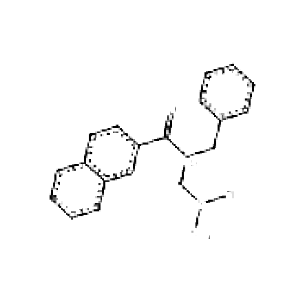 CN(C)C[C@H](Cc1ccccc1)C(=O)c1ccc2ccccc2c1